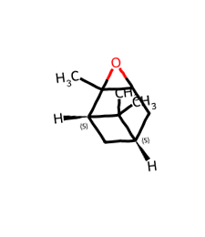 CC12OC1C[C@@H]1C[C@H]2C1(C)C